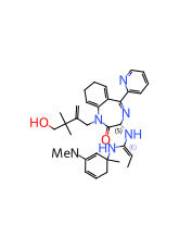 C=C(CN1C(=O)[C@@H](N/C(=C/C)NC2(C)C=C(NC)C=CC2)N=C(c2ccccn2)C2=CCCC=C21)C(C)(C)CO